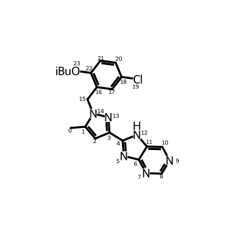 Cc1cc(-c2nc3ncncc3[nH]2)nn1Cc1cc(Cl)ccc1OCC(C)C